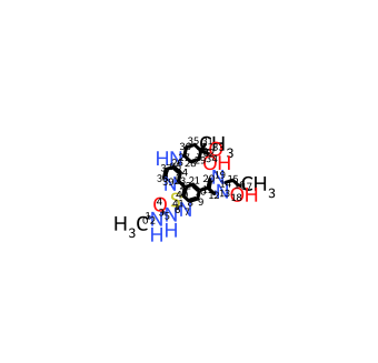 CCNC(=O)Nc1nc2cc(-c3cnc(CC(C)O)nc3)cc(-c3cc(NC4CCC(C)(C(=O)O)CC4)ccn3)c2s1